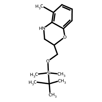 Cc1cccc2c1NCC(CO[Si](C)(C)C(C)(C)C)O2